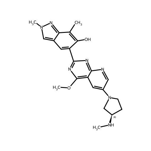 CN[C@@H]1CCN(c2cnc3nc(-c4cc5cn(C)nc5c(C)c4O)nc(OC)c3c2)C1